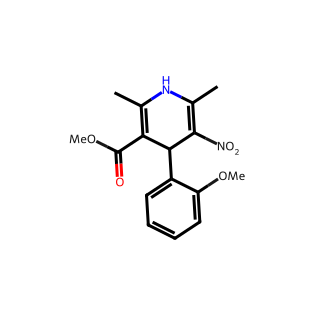 COC(=O)C1=C(C)NC(C)=C([N+](=O)[O-])C1c1ccccc1OC